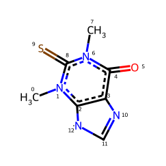 Cn1c2c(c(=O)n(C)c1=S)N=C[N]2